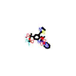 COC(C)(C)c1cc(-c2nccs2)c2oc(N3CC4CC(C3)N4C(=O)OC(C)(C)C)nc2c1OC(F)(F)F